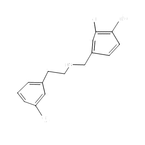 CC(C)(C)c1ccc(CNCCc2cccc(C(F)(F)F)c2)cc1Cl